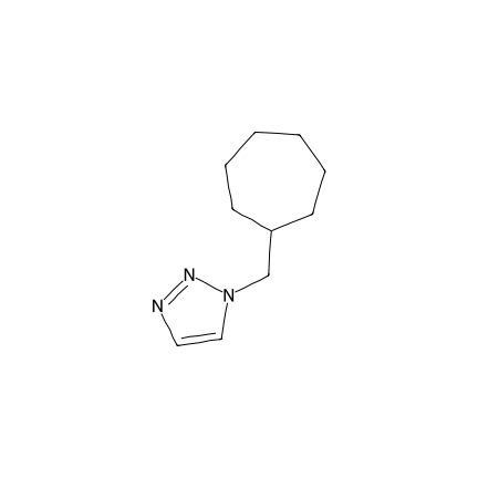 c1cn(CC2CCCCCC2)nn1